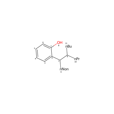 CCCCCCCCCC(c1ccccc1O)C(CCC)CCCC